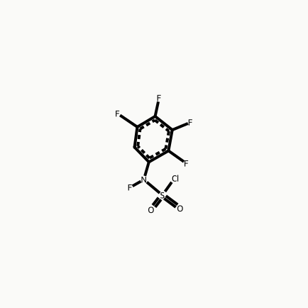 O=S(=O)(Cl)N(F)c1cc(F)c(F)c(F)c1F